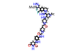 CN/C=C(\C=N)c1cc2c(cc1C(F)F)N(C(=N)C1=C(NC3CCN(C(=O)CC4CCN(CC(=O)Nc5cccc(NC6CCC(=O)NC6=O)c5)CC4)CC3)CCN(C(C)=O)C1)CCC2